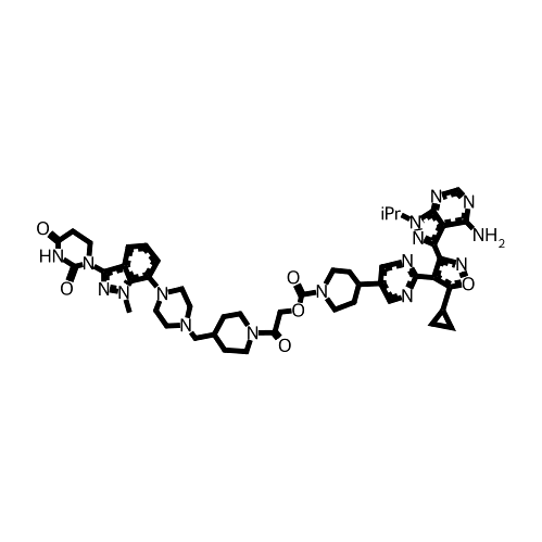 CC(C)n1nc(-c2noc(C3CC3)c2-c2ncc(C3CCN(C(=O)OCC(=O)N4CCC(CN5CCN(c6cccc7c(N8CCC(=O)NC8=O)nn(C)c67)CC5)CC4)CC3)cn2)c2c(N)ncnc21